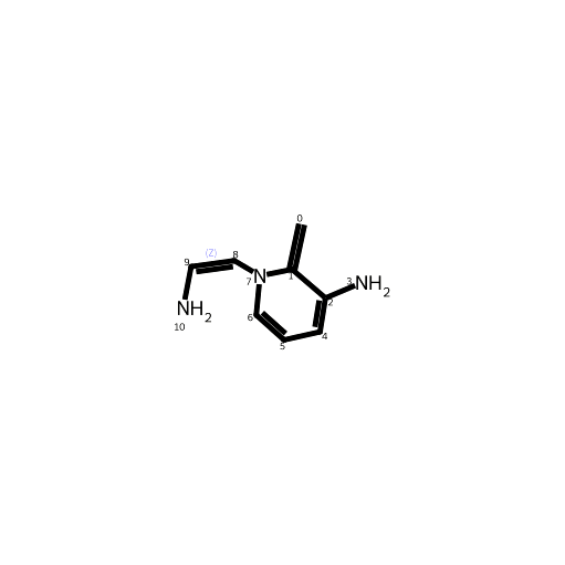 C=C1C(N)=CC=CN1/C=C\N